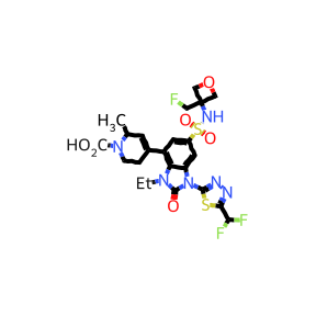 CCn1c(=O)n(-c2nnc(C(F)F)s2)c2cc(S(=O)(=O)NC3(CF)COC3)cc(C3=CC(C)N(C(=O)O)CC3)c21